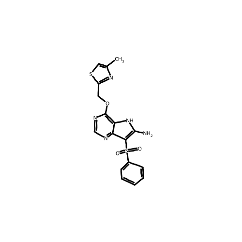 Cc1csc(COc2ncnc3c(S(=O)(=O)c4ccccc4)c(N)[nH]c23)n1